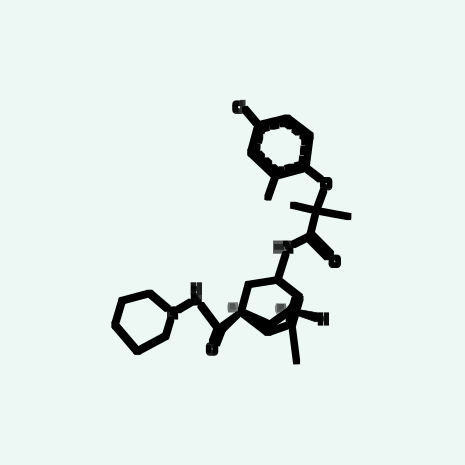 Cc1cc(Cl)ccc1OC(C)(C)C(=O)NC1C[C@@]2(C(=O)NN3CCCCC3)CC=C1[C@H](C)C2